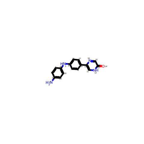 Nc1ccc(Nc2ccc(-c3c[nH]c(=O)cn3)cc2)cc1